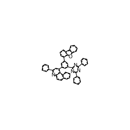 c1ccc(-c2cc(-c3cc(-c4nc(-c5ccccc5)nc(-c5ccccc5)n4)cc(-c4cccc5c4oc4ccccc45)c3)c3c(ccc4ccccc43)n2)cc1